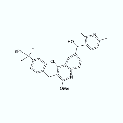 CCCC(F)(F)c1ccc(Cc2c(OC)nc3ccc(C(O)c4ccc(C)nc4C)cc3c2Cl)cc1